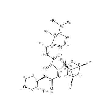 C[C@@H](NC(=O)c1cn([C@@H]2CCOC[C@H]2F)c(=O)cc1N[C@@H]1[C@@H]2C[C@H]1CN(C)C2)c1cccc(C(F)F)c1F